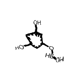 OBOc1cc(O)cc(O)c1